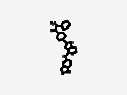 CN(C(=O)N1CC=C(c2cc3c(Nc4ccc5[nH]ncc5c4)ncnc3[nH]2)CC1)c1ccccc1